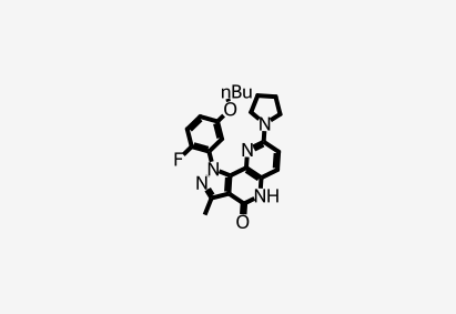 CCCCOc1ccc(F)c(-n2nc(C)c3c(=O)[nH]c4ccc(N5CCCC5)nc4c32)c1